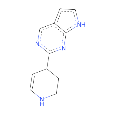 C1=CC(c2ncc3cc[nH]c3n2)CCN1